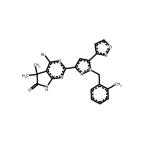 Cc1ccccc1Cn1nc(-c2nc(Br)c3c(n2)NC(=O)C3(C)C)cc1-c1ccon1